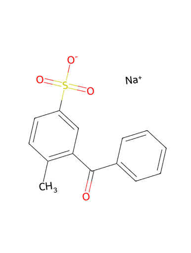 Cc1ccc(S(=O)(=O)[O-])cc1C(=O)c1ccccc1.[Na+]